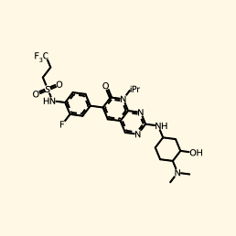 CC(C)n1c(=O)c(-c2ccc(NS(=O)(=O)CCC(F)(F)F)c(F)c2)cc2cnc(NC3CCC(N(C)C)C(O)C3)nc21